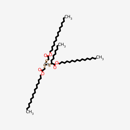 CCCCCCCCCCCCCCCCOC(=O)C[S][Sn]([S]CC(=O)OCCCCCCCCCCCCCCCC)[S]C(CCCCCCCC)C(=O)OCCCCCCCCCCCCCCCC